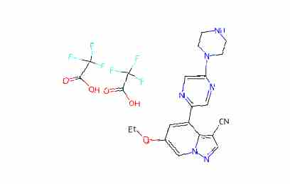 CCOc1cc(-c2cnc(N3CCNCC3)cn2)c2c(C#N)cnn2c1.O=C(O)C(F)(F)F.O=C(O)C(F)(F)F